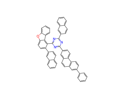 c1ccc(-c2ccc3c(ccc4cc(-c5nc(-c6ccc7ccccc7c6)nc(-c6c(-c7ccc8ccccc8c7)ccc7oc8ccccc8c67)n5)ccc43)c2)cc1